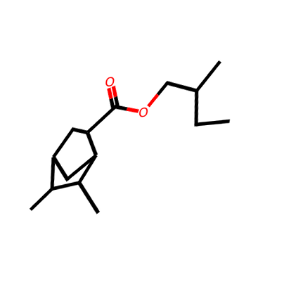 CCC(C)COC(=O)C1CC2CC1C(C)C2C